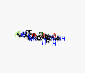 Cn1c(-c2cn(C3CC3(F)F)nc2C(F)(F)F)cnc1C(=O)Nc1ccc(C(=O)NC2[C@H]3CN(C(=O)NC4CNC4)C[C@@H]23)c(Cl)c1